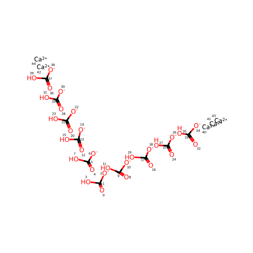 O=C([O-])O.O=C([O-])O.O=C([O-])O.O=C([O-])O.O=C([O-])O.O=C([O-])O.O=C([O-])O.O=C([O-])O.O=C([O-])O.O=C([O-])O.[Ca+2].[Ca+2].[Ca+2].[Ca+2].[Ca+2]